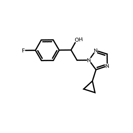 OC(Cn1ncnc1C1CC1)c1ccc(F)cc1